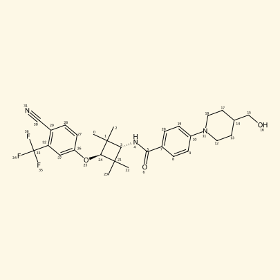 CC1(C)[C@H](NC(=O)c2ccc(N3CCC(CO)CC3)cc2)C(C)(C)[C@H]1Oc1ccc(C#N)c(C(F)(F)F)c1